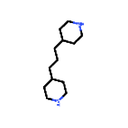 C(CC1CCNCC1)CC1CCNCC1